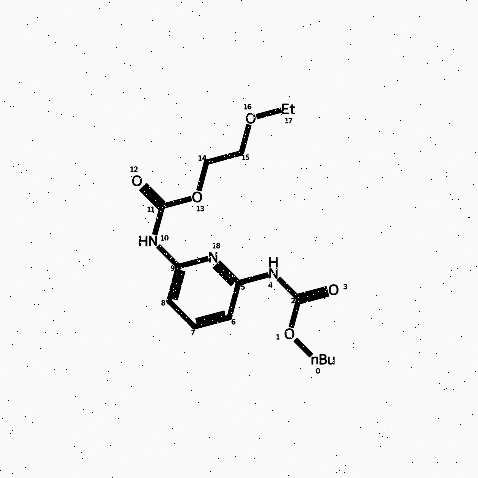 CCCCOC(=O)Nc1cccc(NC(=O)OCCOCC)n1